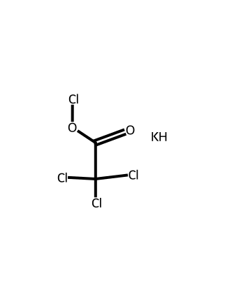 O=C(OCl)C(Cl)(Cl)Cl.[KH]